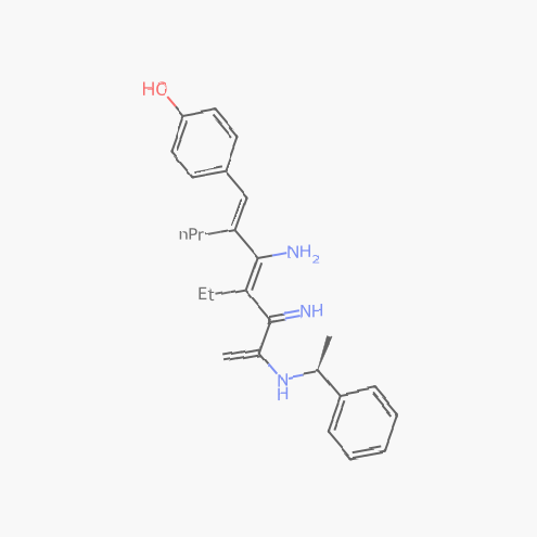 C=C(N[C@@H](C)c1ccccc1)C(=N)/C(CC)=C(N)/C(=C/c1ccc(O)cc1)CCC